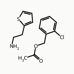 CC(=O)OCc1ccccc1Cl.NCCc1cccs1